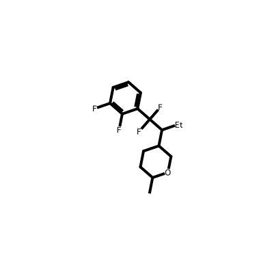 CCC(C1CCC(C)OC1)C(F)(F)c1cccc(F)c1F